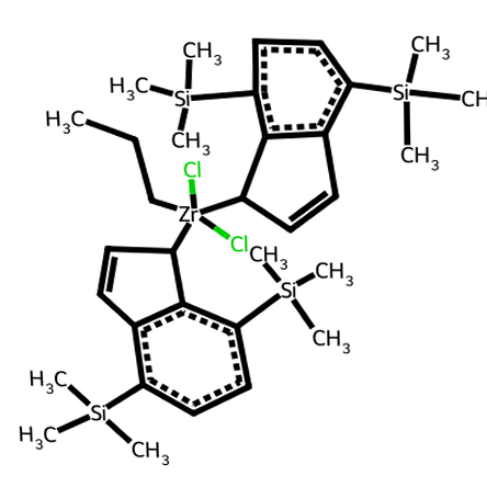 CC[CH2][Zr]([Cl])([Cl])([CH]1C=Cc2c([Si](C)(C)C)ccc([Si](C)(C)C)c21)[CH]1C=Cc2c([Si](C)(C)C)ccc([Si](C)(C)C)c21